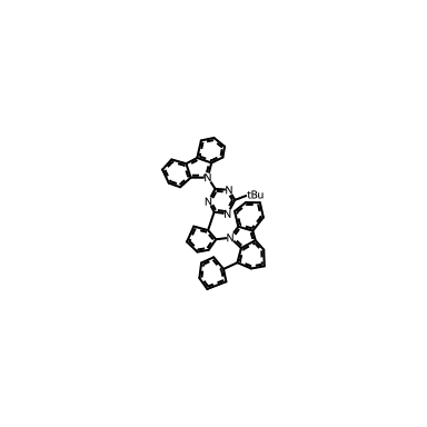 CC(C)(C)c1nc(-c2ccccc2-n2c3ccccc3c3cccc(-c4ccccc4)c32)nc(-n2c3ccccc3c3ccccc32)n1